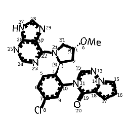 CO[C@@H]1C[C@@H](c2ccc(Cl)cc2-n2cnn3cccc3c2=O)N(c2ncnc3[nH]cnc23)C1